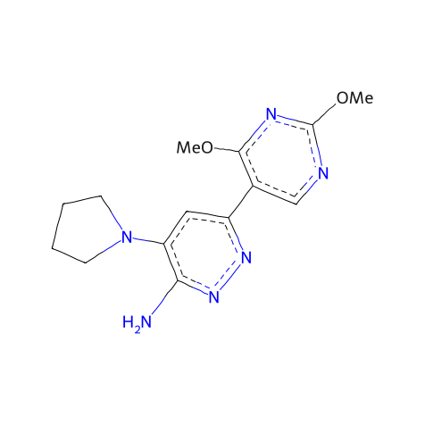 COc1ncc(-c2cc(N3CCCC3)c(N)nn2)c(OC)n1